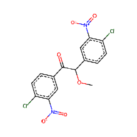 COC(C(=O)c1ccc(Cl)c([N+](=O)[O-])c1)c1ccc(Cl)c([N+](=O)[O-])c1